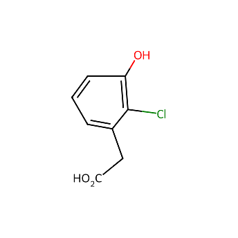 O=C(O)Cc1cccc(O)c1Cl